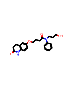 O=C1CCc2cc(OCCCC(=O)N(CCCO)c3ccccc3)ccc2N1